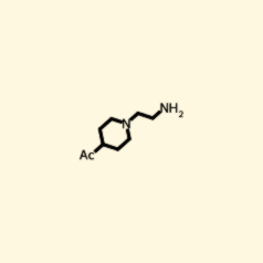 CC(=O)C1CCN(CCN)CC1